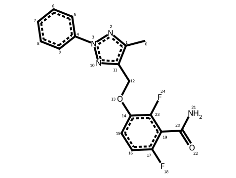 Cc1nn(-c2ccccc2)nc1COc1ccc(F)c(C(N)=O)c1F